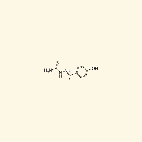 C/C(=N\NC(N)=S)c1ccc(O)cc1